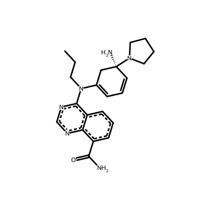 CCCN(C1=CC=C[C@](N)(N2CCCC2)C1)c1ncnc2c(C(N)=O)cccc12